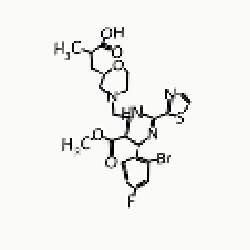 COC(=O)C1=C(CN2CCO[C@H](CC(C)C(=O)O)C2)NC(c2nccs2)=N[C@H]1c1ccc(F)cc1Br